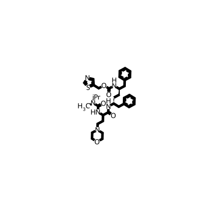 CC(C)N(C)C(=O)NC(CCN1CCOCC1)C(=O)N[C@H](CC[C@H](Cc1ccccc1)NC(=O)OCc1cncs1)Cc1ccccc1